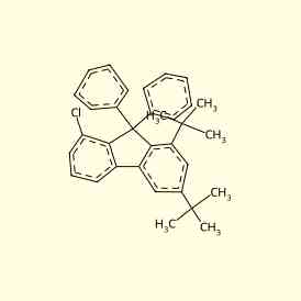 CC(C)(C)c1cc2c(c(C(C)(C)C)c1)C(c1ccccc1)(c1ccccc1)c1c(Cl)cccc1-2